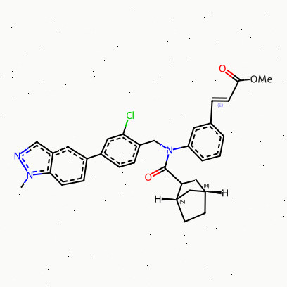 COC(=O)/C=C/c1cccc(N(Cc2ccc(-c3ccc4c(cnn4C)c3)cc2Cl)C(=O)C2C[C@@H]3CC[C@H]2C3)c1